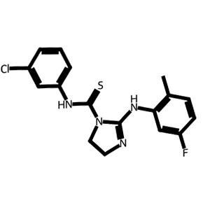 Cc1ccc(F)cc1NC1=NCCN1C(=S)Nc1cccc(Cl)c1